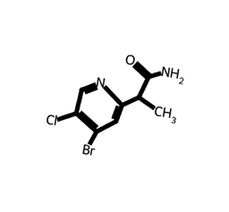 CC(C(N)=O)c1cc(Br)c(Cl)cn1